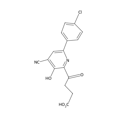 N#Cc1cc(-c2ccc(Cl)cc2)nc(C(=O)CCC(=O)O)c1O